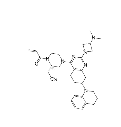 C=CC(=O)N1CCN(c2nc(N3CC(N(C)C)C3)nc3c2CCC(N2CCCc4ccccc42)C3)C[C@@H]1CC#N